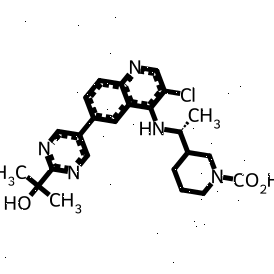 C[C@@H](Nc1c(Cl)cnc2ccc(-c3cnc(C(C)(C)O)nc3)cc12)C1CCCN(C(=O)O)C1